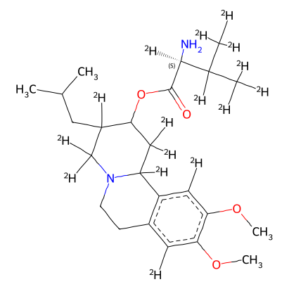 [2H]c1c2c(c([2H])c(OC)c1OC)C1([2H])N(CC2)C([2H])([2H])C([2H])(CC(C)C)C(OC(=O)[C@@]([2H])(N)C([2H])(C([2H])([2H])[2H])C([2H])([2H])[2H])C1([2H])[2H]